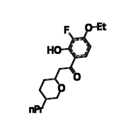 CCCC1CCC(CC(=O)c2ccc(OCC)c(F)c2O)OC1